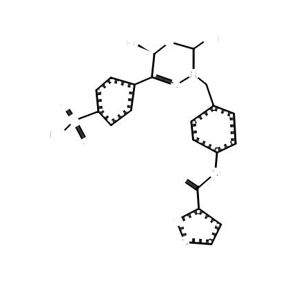 CC[C@H]1SC(C=O)N(Cc2ccc(NC(=O)c3ccno3)cc2)N=C1c1ccc(S(C)(=O)=O)cc1